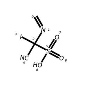 C=NC(I)(C#N)S(=O)(=O)O